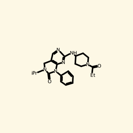 CCC(=O)N1CCC(Nc2ncc3c(n2)N(c2ccccc2)C(=O)N(C(C)C)C3)CC1